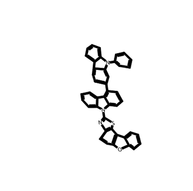 c1ccc(-n2c3ccccc3c3ccc(-c4cccc5c4c4ccccc4n5-c4nc5ccc6oc7ccccc7c6c5s4)cc32)cc1